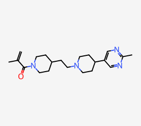 C=C(C)C(=O)N1CCC(CCN2CCC(c3cnc(C)nc3)CC2)CC1